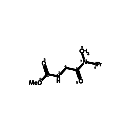 COC(=O)NCC(=O)N(C)C(C)C